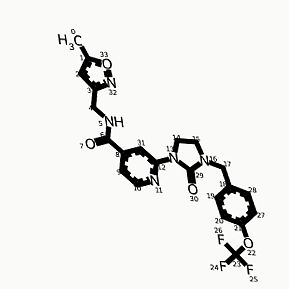 Cc1cc(CNC(=O)c2ccnc(N3CCN(Cc4ccc(OC(F)(F)F)cc4)C3=O)c2)no1